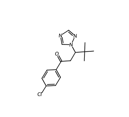 CC(C)(C)C(CC(=O)c1ccc(Cl)cc1)n1cncn1